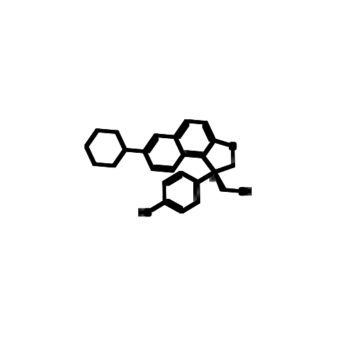 OC[C@]1(c2ccc(O)cc2)COc2ccc3cc(C4CCCCC4)ccc3c21